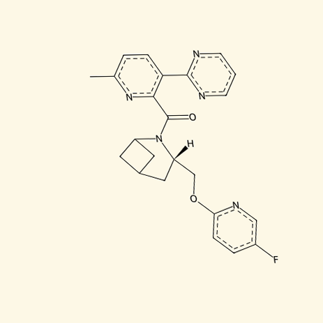 Cc1ccc(-c2ncccn2)c(C(=O)N2C3CC(C3)C[C@H]2COc2ccc(F)cn2)n1